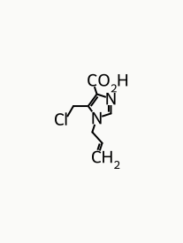 C=CCn1cnc(C(=O)O)c1CCl